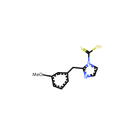 COc1cccc(Cc2nccn2C(=S)S)c1